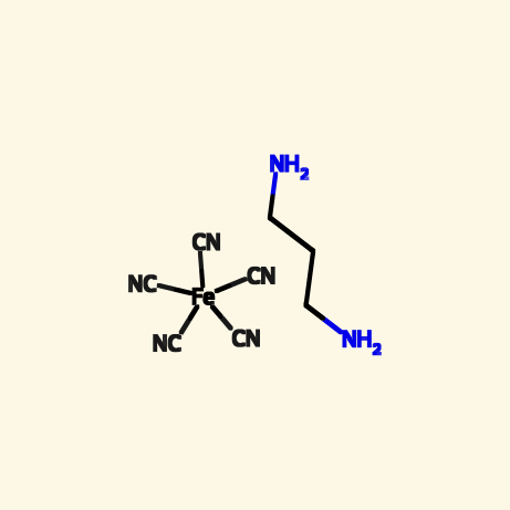 N#[C][Fe]([C]#N)([C]#N)([C]#N)[C]#N.NCCCN